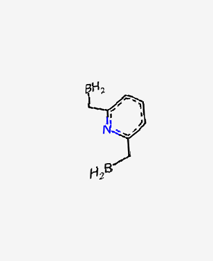 BCc1cccc(CB)n1